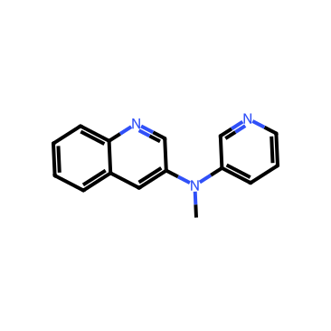 CN(c1cccnc1)c1cnc2ccccc2c1